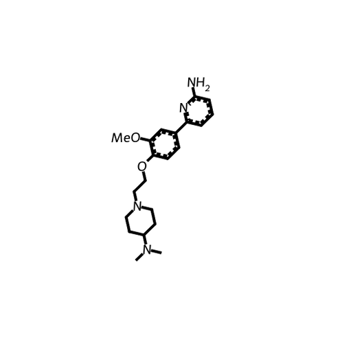 COc1cc(-c2cccc(N)n2)ccc1OCCN1CCC(N(C)C)CC1